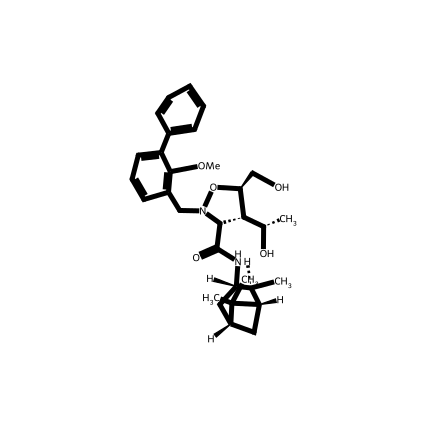 COc1c(CN2O[C@@H](CO)[C@H]([C@H](C)O)C2C(=O)N[C@H]2C[C@H]3C[C@@H]([C@@H]2C)C3(C)C)cccc1-c1ccccc1